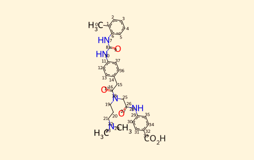 Cc1ccccc1NC(=O)Nc1ccc(CC(=O)N(CCCN(C)C)CC(=O)Nc2ccc(C(=O)O)cc2)cc1